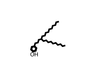 CCCCCCCCCCC(CCCCCCCCCC)CCCc1ccc(O)cc1